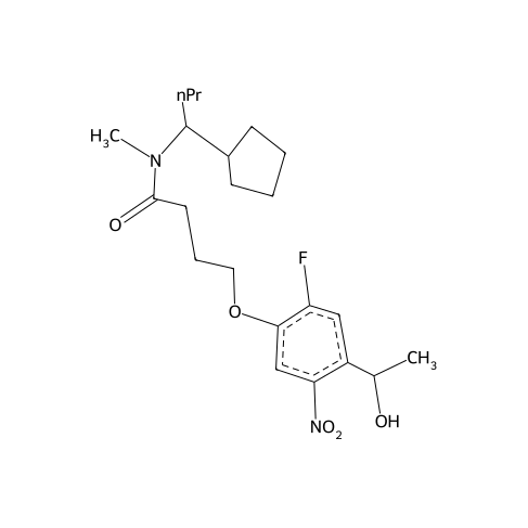 CCCC(C1CCCC1)N(C)C(=O)CCCOc1cc([N+](=O)[O-])c(C(C)O)cc1F